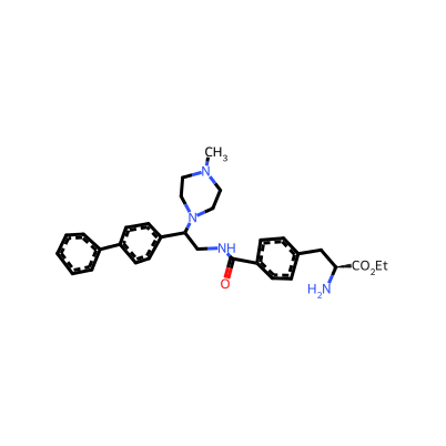 CCOC(=O)[C@@H](N)Cc1ccc(C(=O)NCC(c2ccc(-c3ccccc3)cc2)N2CCN(C)CC2)cc1